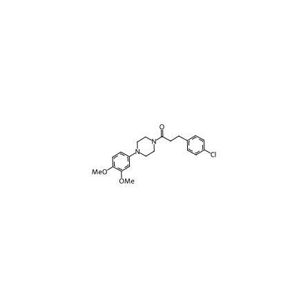 COc1ccc(N2CCN(C(=O)CCc3ccc(Cl)cc3)CC2)cc1OC